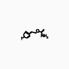 CC(N)OCCc1ccc(F)cc1